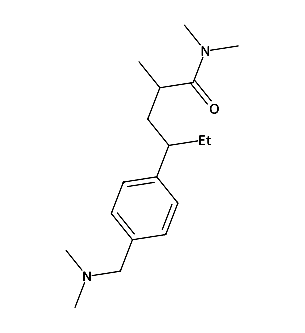 CCC(CC(C)C(=O)N(C)C)c1ccc(CN(C)C)cc1